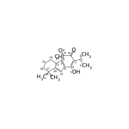 CC(C)C1=C(O)C2=C(C(=O)C1=O)[C@]1(C)CCCC(C)(C)C1=C2